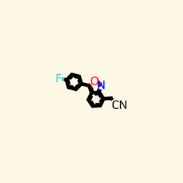 N#CCc1cccc2c(-c3ccc(F)cc3)onc12